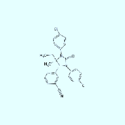 CC[C@]1(C)[C@@H](c2cccc(C#N)c2)N(c2ccc(Cl)cc2)C(=O)N1c1ccc(Cl)cc1